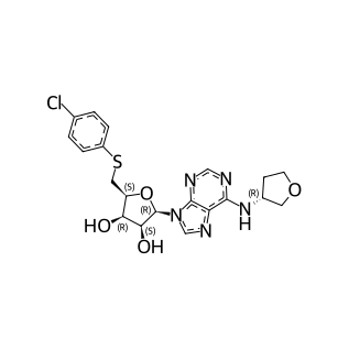 O[C@@H]1[C@H](O)[C@H](n2cnc3c(N[C@@H]4CCOC4)ncnc32)O[C@@H]1CSc1ccc(Cl)cc1